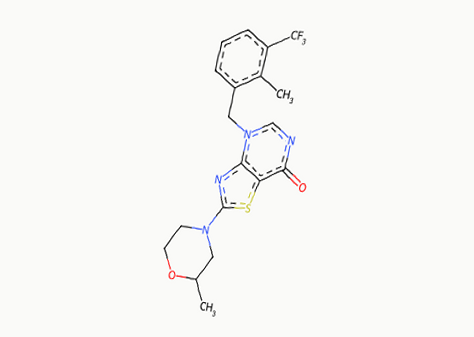 Cc1c(Cn2cnc(=O)c3sc(N4CCOC(C)C4)nc32)cccc1C(F)(F)F